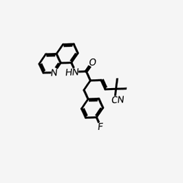 CC(C)(C#N)C=CC(Cc1ccc(F)cc1)C(=O)Nc1cccc2cccnc12